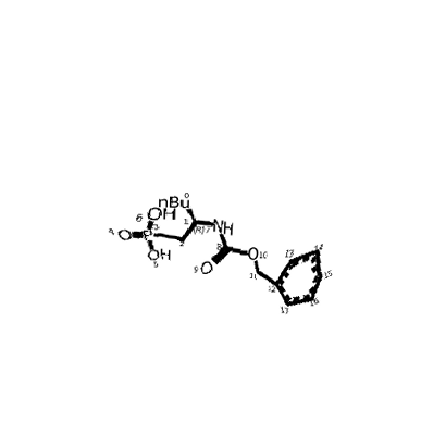 CCCC[C@H](CP(=O)(O)O)NC(=O)OCc1ccccc1